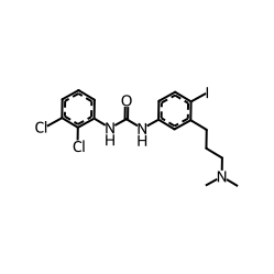 CN(C)CCCc1cc(NC(=O)Nc2cccc(Cl)c2Cl)ccc1I